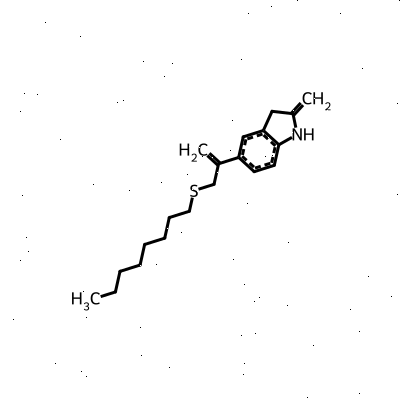 C=C1Cc2cc(C(=C)CSCCCCCCCC)ccc2N1